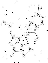 CC1=CCC(C2(C(C)(C)C)C=CC3=c4ccc(C(C)(C)C)cc4=CC3=[C]2[Zr]=[Si](C)C)=C1C.Cl.Cl